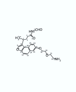 CC(CCC(=O)NC=O)c1coc2ccc3cc(OCCOCCN)ccc3c12